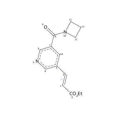 CCOC(=O)/C=C/c1cncc(C(=O)N2CCC2)c1